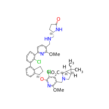 COc1nc(-c2cccc(-c3cccc4c3CC[C@@H]4Oc3nc(OC)c(CN4C[C@H]5[C@@H]([C@H]4C(=O)O)C5(C)C)cc3Cl)c2Cl)ccc1CNC[C@@H]1CCC(=O)N1